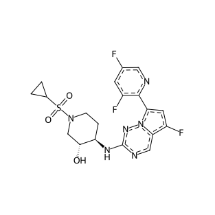 O=S(=O)(C1CC1)N1CC[C@@H](Nc2ncc3c(F)cc(-c4ncc(F)cc4F)n3n2)[C@H](O)C1